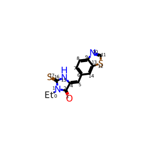 CCN1C(=O)/C(=C/c2ccc3ncsc3c2)NC1=S